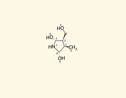 C[C@@H]1[C@H](CO)[C@@H](O)N[C@H]1O